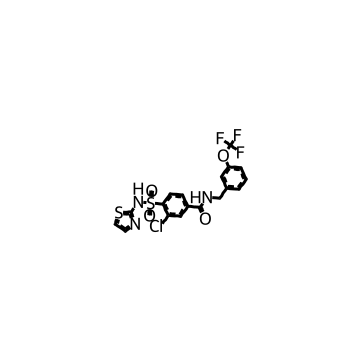 O=C(NCc1cccc(OC(F)(F)F)c1)c1ccc(S(=O)(=O)Nc2nccs2)c(Cl)c1